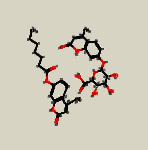 CCCCCCC(=O)Oc1ccc2c(C)cc(=O)oc2c1.Cc1cc(=O)oc2cc(O[C@@H]3O[C@H](C(=O)O)[C@@H](O)[C@H](O)[C@H]3O)ccc12